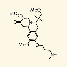 CCOC(=O)c1cn2c(cc1=O)-c1cc(OC)c(OCCCN(C)C)cc1CC2C(C)(C)COC